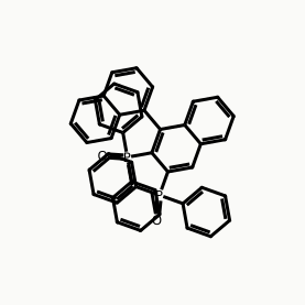 O=P(c1ccccc1)(c1ccccc1)c1cc2ccccc2c(-c2cccc3ccccc23)c1P(=O)(c1ccccc1)c1ccccc1